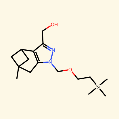 CC12Cc3c(c(CO)nn3COCC[Si](C)(C)C)C(C1)C2